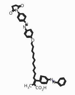 CC(C(=O)O)=C(CCCCCCCCCCCOc1ccc(N=Nc2ccc(N3C(=O)CCC3=O)cc2)cc1)c1ccc(/N=N/c2ccccc2)cc1